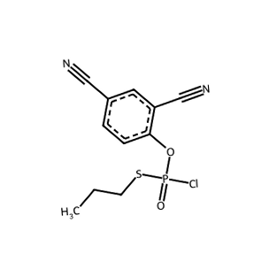 CCCSP(=O)(Cl)Oc1ccc(C#N)cc1C#N